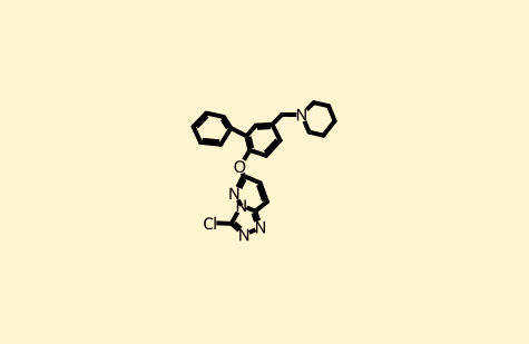 Clc1nnc2ccc(Oc3ccc(CN4CCCCC4)cc3-c3ccccc3)nn12